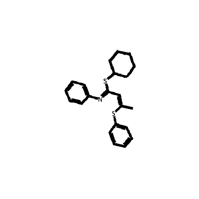 C/C(=C/C(=N/c1ccccc1)SC1CCCCC1)Sc1ccccc1